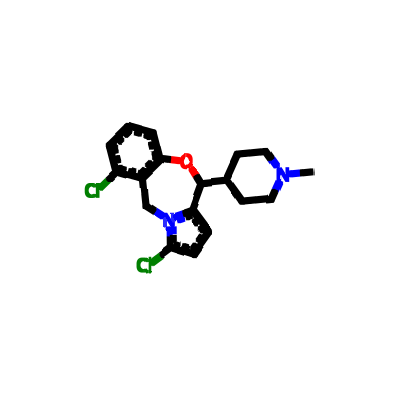 CN1CCC(C2Oc3cccc(Cl)c3Cn3c(Cl)ccc32)CC1